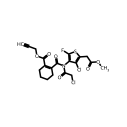 C#CCOC(=O)C1=C(C(=O)N(C(=O)CCl)c2c(F)sc(CC(=O)OC)c2Cl)CCCC1